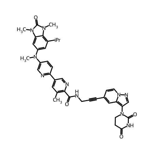 Cc1cc(-c2ccc(N(C)c3cc(C(C)C)c4c(c3)n(C)c(=O)n4C)cn2)cnc1C(=O)NCC#Cc1ccn2ncc(N3CCC(=O)NC3=O)c2c1